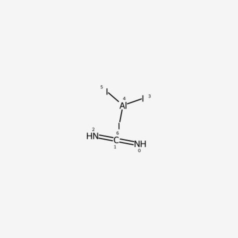 N=C=N.[I][Al]([I])[I]